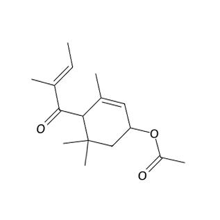 CC=C(C)C(=O)C1C(C)=CC(OC(C)=O)CC1(C)C